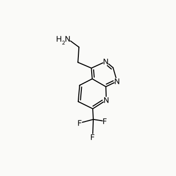 NCCc1ncnc2nc(C(F)(F)F)ccc12